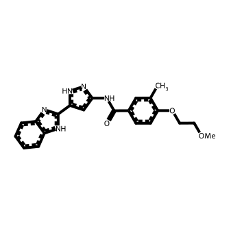 COCCOc1ccc(C(=O)Nc2cc(-c3nc4ccccc4[nH]3)[nH]n2)cc1C